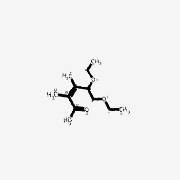 CCOCC(OCC)C(C)=C(C)C(=O)O